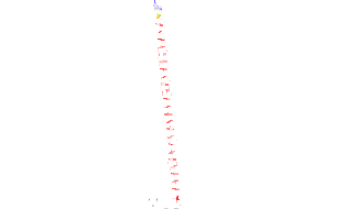 COC(=O)CCOCCOCCOCCOCCOCCOCCOCCOCCOCCOCCOCCOCCOCCOCCOCCOCCOCCOCCOCCOCCOCCOCCOCCOCCSSc1ccccn1